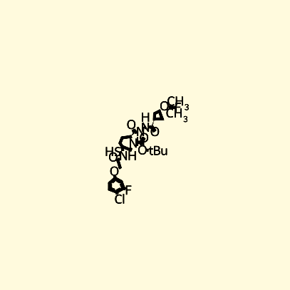 CC(C)(C)OC(=O)N1C[C@](S)(NC(=O)COc2ccc(Cl)c(F)c2)CC[C@@H]1C(=O)NNC(=O)[C@H]1C[C@@H](OC(C)(C)F)C1